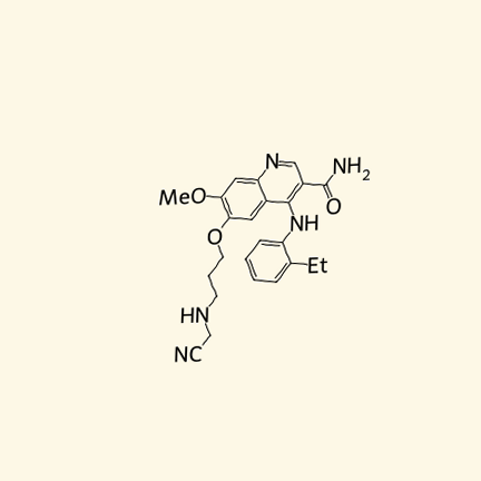 CCc1ccccc1Nc1c(C(N)=O)cnc2cc(OC)c(OCCCNCC#N)cc12